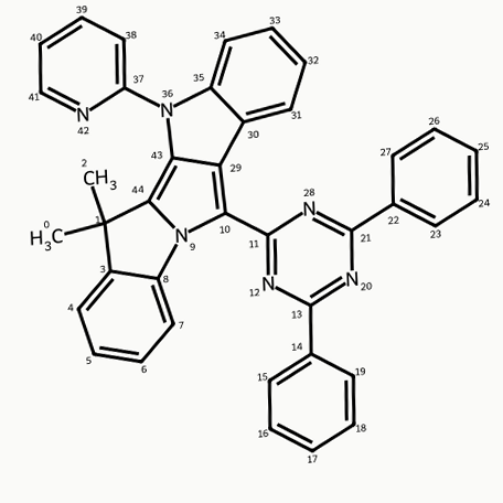 CC1(C)c2ccccc2-n2c(-c3nc(-c4ccccc4)nc(-c4ccccc4)n3)c3c4ccccc4n(-c4ccccn4)c3c21